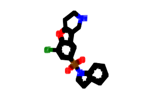 O=S(=O)(c1cc(Cl)c2oc3c(c2c1)CNCC3)n1ccc2ccccc21